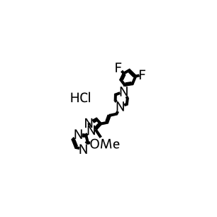 COc1nccnc1-n1ncc(/C=C/CN2CCN(c3cc(F)cc(F)c3)CC2)c1C.Cl